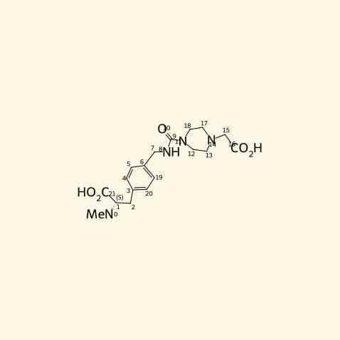 CN[C@@H](Cc1ccc(CNC(=O)N2CCN(CC(=O)O)CC2)cc1)C(=O)O